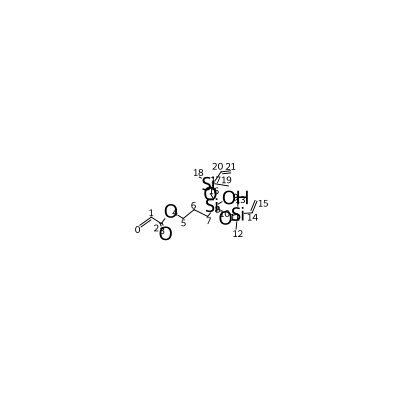 C=CC(=O)OCCC[Si](O)(O[Si](C)(C)C=C)O[Si](C)(C)C=C